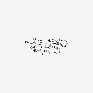 Cc1c(Br)sc2c1C(=O)C(C(C)(C)C(=O)CC(C)(C)[Si](O)(c1ccccc1)c1ccccc1)C(=O)N2